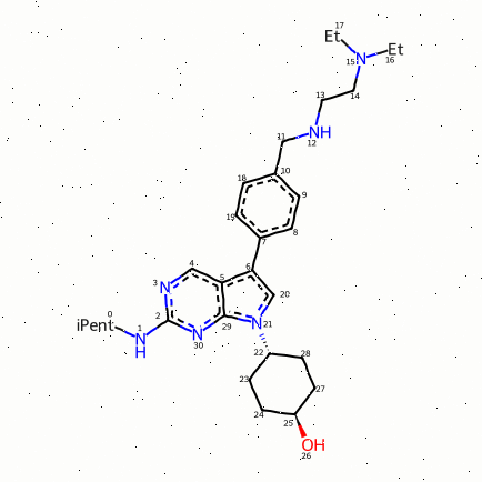 CCCC(C)Nc1ncc2c(-c3ccc(CNCCN(CC)CC)cc3)cn([C@H]3CC[C@H](O)CC3)c2n1